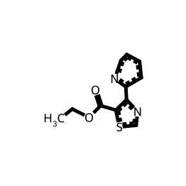 CCOC(=O)c1scnc1-c1ccccn1